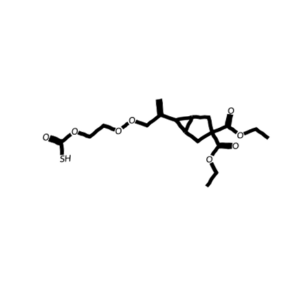 C=C(COOCCOC(=O)S)C1C2CC(C(=O)OCC)(C(=O)OCC)CC21